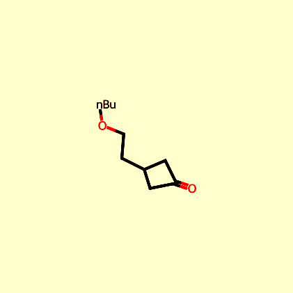 CCCCOCCC1CC(=O)C1